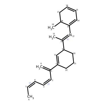 C=C(/C=C\C=C/C)C1=CC(/C(C)=N/C2=CC=CCC2C)CCC1